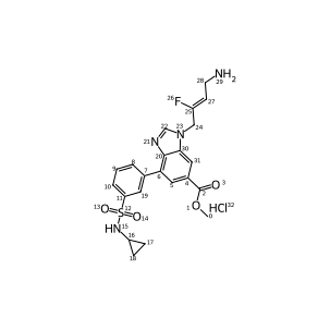 COC(=O)c1cc(-c2cccc(S(=O)(=O)NC3CC3)c2)c2ncn(CC(F)=CCN)c2c1.Cl